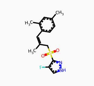 CC(=Cc1ccc(C)cc1C)CS(=O)(=O)c1n[nH]cc1F